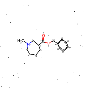 CN1CCCCC(C(=O)OCc2ccccc2)C1